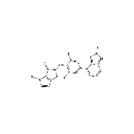 CCn1ccc2c1C(=O)N(Cc1c(F)cc(-c3cccc4nn(C)cc34)cc1F)C2